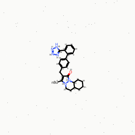 CCCCc1c(Cc2ccc(-c3ccccc3-c3nnn[nH]3)cc2)c(=O)n2n1CCC1CCCCC12